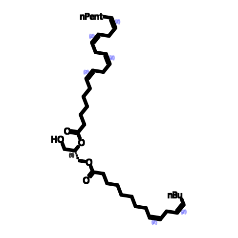 CCCC/C=C\C/C=C\CCCCCCCC(=O)OC[C@H](CO)OC(=O)CCCCC/C=C\C/C=C\C/C=C\C/C=C\CCCCC